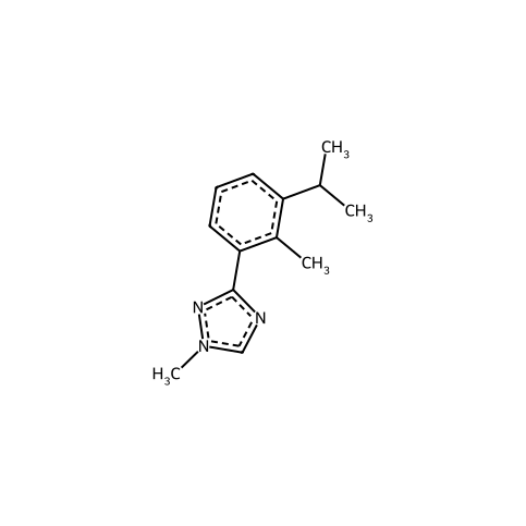 Cc1c(-c2ncn(C)n2)cccc1C(C)C